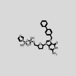 Nc1nc2c(c(=O)[nH]1)[n+](Cc1ccc(-c3ccccc3)cc1)cn2C1CCC(COP(=O)(O)OP(=O)(O)n2ccnc2)O1